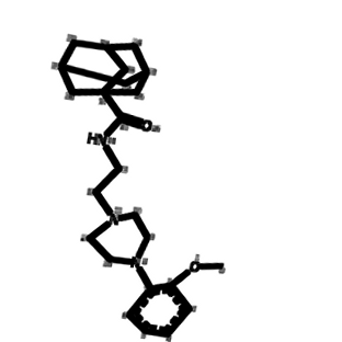 COc1ccccc1N1CCN(CCNC(=O)C23CC4CC(CC(C4)C2)C3)CC1